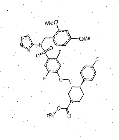 COc1ccc(CN(c2nncs2)S(=O)(=O)c2cc(F)c(OC[C@H]3CN(C(=O)OC(C)(C)C)CC[C@@H]3c3ccc(Cl)cc3)cc2F)c(OC)c1